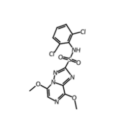 COc1ncc(OC)n2nc(S(=O)(=O)Nc3c(Cl)cccc3Cl)nc12